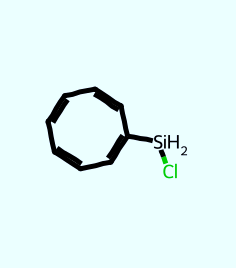 Cl[SiH2]C1=CC=CC=CC=C1